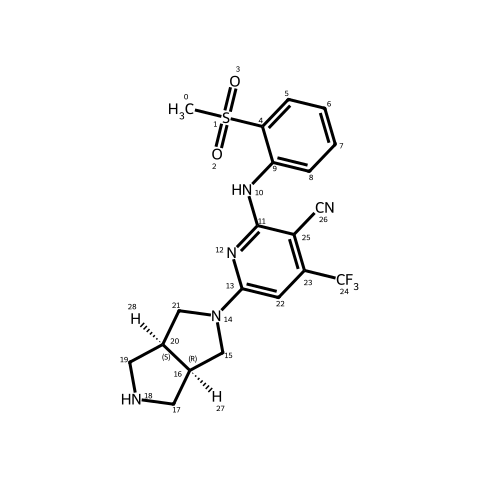 CS(=O)(=O)c1ccccc1Nc1nc(N2C[C@H]3CNC[C@H]3C2)cc(C(F)(F)F)c1C#N